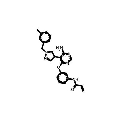 C=CC(=O)Nc1cccc(Oc2ncnc(N)c2C2C=NN(Cc3cccc(C)c3)C2)c1